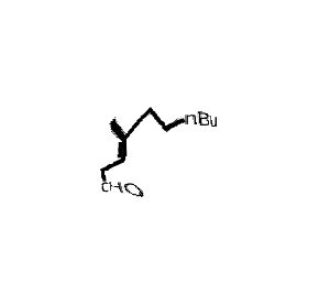 CCCCCCC(C)=CCC=O